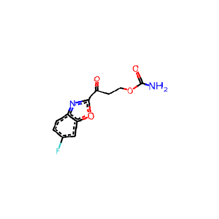 NC(=O)OCCC(=O)c1nc2ccc(F)cc2o1